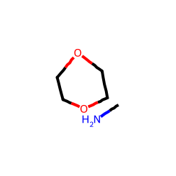 C1COCCO1.CN